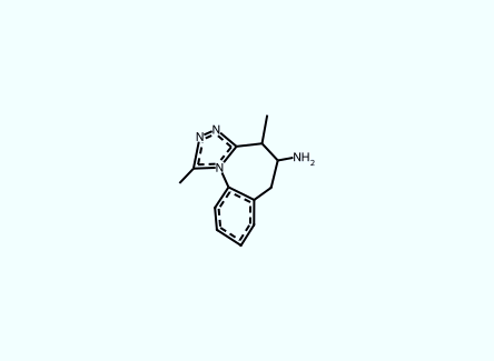 Cc1nnc2n1-c1ccccc1CC(N)C2C